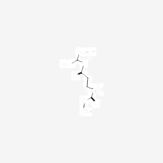 CCCCCCCC(CCC)OC(=O)CCNC(=O)OC(C)(C)C